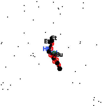 CCC(C)(C)c1ccc(OCCCC(=O)Nc2cccc(NC(=O)C(Cl)(Oc3ccc(S(=O)(=O)c4ccc(OCc5ccccc5)cc4)cc3)C(=O)C(C)(C)C)c2)c(C(C)(C)CC)c1